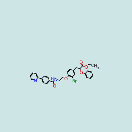 CCOC(=O)C(Cc1ccc(OCCNC(=O)c2ccc(-c3ccccn3)cc2)c(Br)c1)Oc1ccccc1